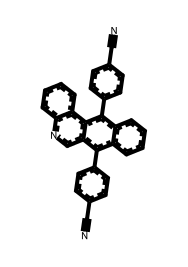 N#Cc1ccc(-c2c3ccccc3c(-c3ccc(C#N)cc3)c3c2cnc2ccccc23)cc1